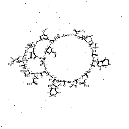 COc1cc2cc(c1)CN1Cc3cc(cc(OC)c3)CN3Cc4cc(cc(OC)c4)CN(C2)S(=O)(=O)CCSC[C@@H](C(N)=O)NC(=O)[C@@H]2CCCN2C(=O)[C@H](C(C)C)NC(=O)[C@H](Cc2c[nH]c4ccccc24)NC(=O)CNC(=O)[C@H](CC(=O)O)NC(=O)[C@H](C(C)C)NC(=O)[C@H](Cc2c[nH]c4ccccc24)NC(=O)[C@H](CSCCS3(=O)=O)NC(=O)[C@H](CCC(=O)O)NC(=O)[C@H]([C@@H](C)O)NC(=O)[C@@H](NC(=O)[C@H](C)N)CSCCS1(=O)=O